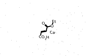 CCOC(=O)/C=C/C(=O)O.[Ca]